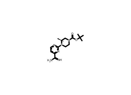 C[C@H]1CN(C(=O)OC(C)(C)C)CCN1c1nccc(C(=N)N)n1